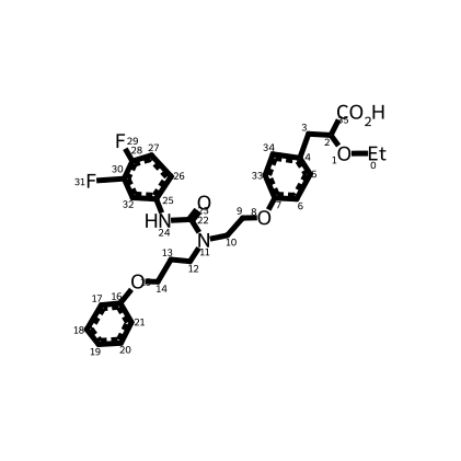 CCOC(Cc1ccc(OCCN(CCCOc2ccccc2)C(=O)Nc2ccc(F)c(F)c2)cc1)C(=O)O